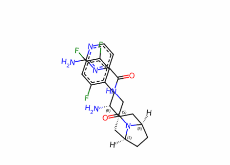 Nc1nccc(C(=O)NCC(=O)N2[C@@H]3CC[C@H]2C[C@H]([C@H](N)Cc2cc(F)c(F)cc2F)C3)n1